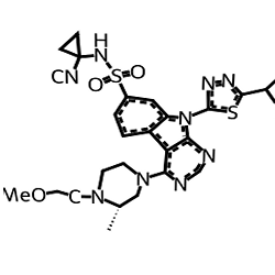 COCCN1CCN(c2ncnc3c2c2ccc(S(=O)(=O)NC4(C#N)CC4)cc2n3-c2nnc(C(F)F)s2)C[C@@H]1C